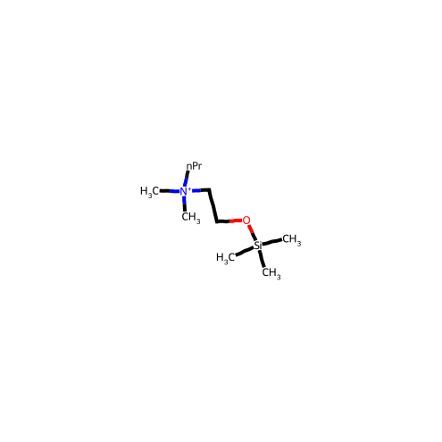 CCC[N+](C)(C)CCO[Si](C)(C)C